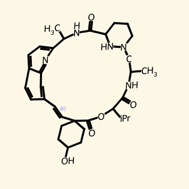 CC1CN2CCCC(N2)C(=O)NC(C)c2ccc3ccc(cc3n2)/C=C/C2(CCC(O)CC2)C(=O)OC(C(C)C)C(=O)N1